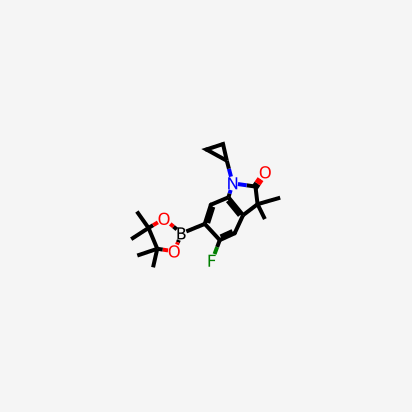 CC1(C)C(=O)N(C2CC2)c2cc(B3OC(C)(C)C(C)(C)O3)c(F)cc21